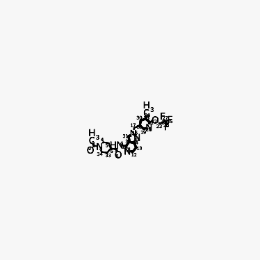 CC(=O)N1CCC(C(=O)Nc2nccc3nn(Cc4cnc(OCC(F)(F)F)c(C)c4)cc23)CC1